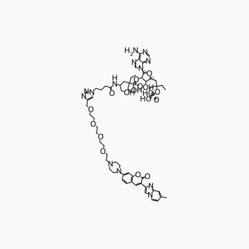 CCC(CC)(C[C@@H]1O[C@H](n2cnc3c(N)ncnc32)C(OP(=O)(O)C(CC)(CC)CC(CO)NC(=O)CCCn2cc(COCCOCCOCCOCCN3CCN(c4ccc5cc(-c6cn7ccc(C)cc7n6)c(=O)oc5c4)CC3)nn2)C1O)OP(=O)(O)O